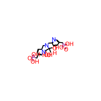 O=P(O)(O)Cc1ccc(CN(Cc2ccc(CP(=O)(O)O)cn2)C(CO)(CO)CO)nc1